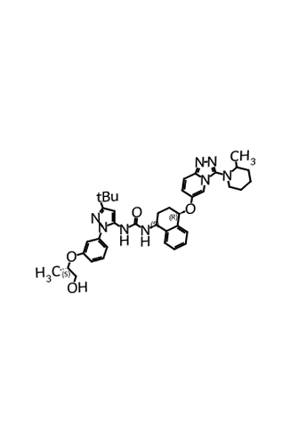 CC1CCCCN1c1nnc2ccc(O[C@@H]3CC[C@H](NC(=O)Nc4cc(C(C)(C)C)nn4-c4cccc(O[C@@H](C)CO)c4)c4ccccc43)cn12